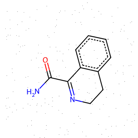 NC(=O)C1=NCCc2c[c]ccc21